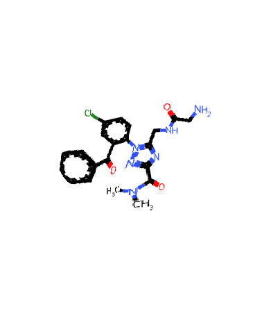 CN(C)C(=O)c1nc(CNC(=O)CN)n(-c2ccc(Cl)cc2C(=O)c2ccccc2)n1